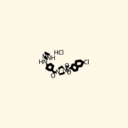 Cl.O=C(c1ccc(Nc2ncc[nH]2)cc1)N1CCN(S(=O)(=O)c2ccc3cc(Cl)ccc3c2)CC1